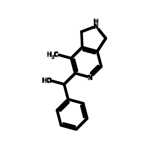 Cc1c(C(O)c2ccccc2)ncc2c1CNC2